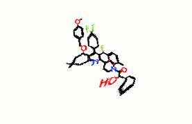 COc1ccc(CO[C@H]2CC(C)(C)Cc3nc(C4CCN(C(=O)[C@H](O)c5ccccc5)CC4)c([C@@H](F)c4ccc(C)cc4)c(C4CCC(F)(F)CC4)c32)cc1